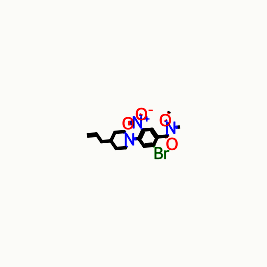 C=CCC1CCN(c2cc(Br)c(C(=O)N(C)OC)cc2[N+](=O)[O-])CC1